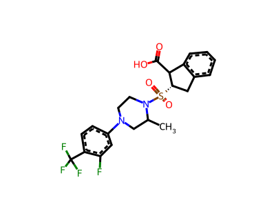 CC1CN(c2ccc(C(F)(F)F)c(F)c2)CCN1S(=O)(=O)[C@H]1Cc2ccccc2C1C(=O)O